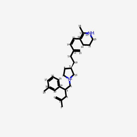 C=C(C)CC(CN1CC[C@@H](CCC(=C)/C=C\C2=C(C)NCCC2)C1)c1cccc(C)c1